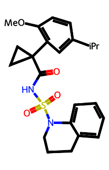 COc1ccc(C(C)C)cc1C1(C(=O)NS(=O)(=O)N2CCCc3ccccc32)CC1